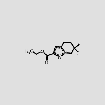 CCOC(=O)c1cc2n(n1)CC(F)(F)CC2